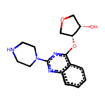 O[C@H]1COC[C@H]1Oc1nc(N2CCNCC2)nc2ccccc12